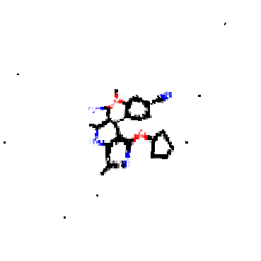 COc1cc(C#N)ccc1[C@@H]1C(C(N)=O)=C(C)Nc2c(C)cnc(OC3CCCC3)c21